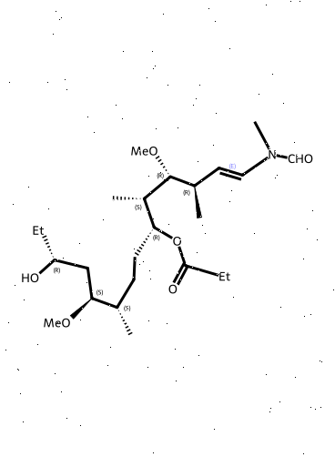 CCC(=O)O[C@H](CC[C@H](C)[C@H](C[C@H](O)CC)OC)[C@H](C)[C@H](OC)[C@H](C)/C=C/N(C)C=O